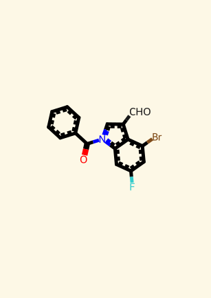 O=Cc1cn(C(=O)c2ccccc2)c2cc(F)cc(Br)c12